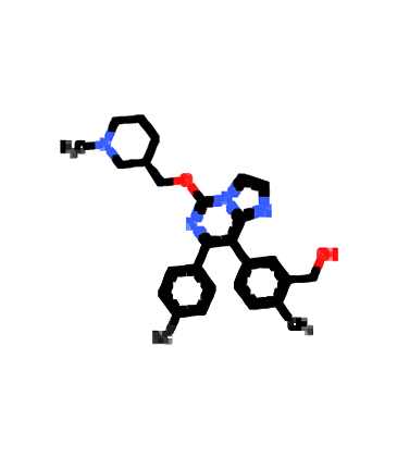 Cc1ccc(-c2c(-c3ccc(C#N)cc3)nc(OC[C@@H]3CCCN(C)C3)n3ccnc23)cc1CO